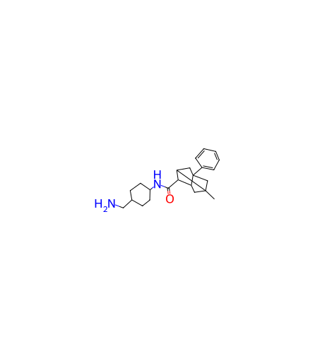 CC12CC3C(C(=O)NC4CCC(CN)CC4)C1CC3(c1ccccc1)C2